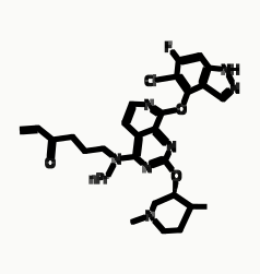 C=CC(=O)CCCN(CCC)c1nc(O[C@@H]2CN(C)CCC2C)nc2c(Oc3c(Cl)c(F)cc4[nH]ncc34)nccc12